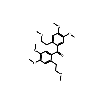 COCCc1cc(OC)c(OC)cc1C(=O)c1cc(OC)c(OC)cc1CCOC